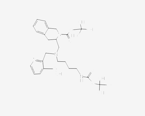 COc1cccnc1CN(CCCCNC(=O)OC(C)(C)C)CC1Cc2ccccc2CN1C(=O)OC(C)(C)C